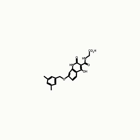 Cc1cc(C)cc(COc2ccc3c(O)c(C(=O)NCC(=O)O)c(=O)[nH]c3c2)c1